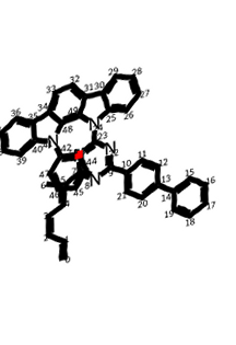 C=C/C=C\C=C(/C)c1nc(-c2ccc(-c3ccccc3)cc2)nc(-n2c3ccccc3c3ccc4c5ccccc5n(-c5ccccc5)c4c32)n1